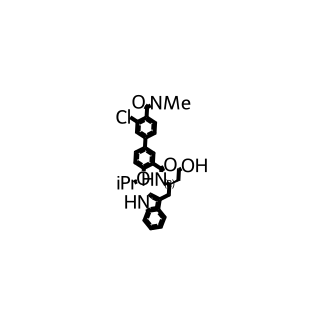 CNC(=O)c1ccc(-c2ccc(OC(C)C)c(C(=O)N[C@@H](CCO)Cc3c[nH]c4ccccc34)c2)cc1Cl